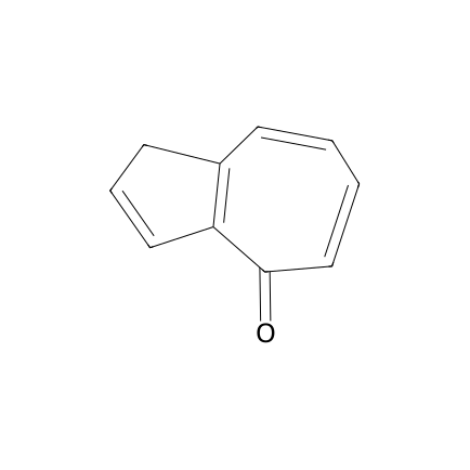 O=c1ccccc2c1C=CC2